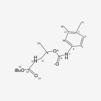 Cc1ccc(NC(=O)OC(C)CNC(=O)OCC(C)C)cc1C